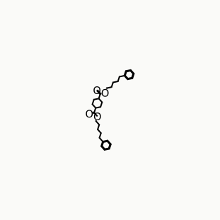 O=C(OCCCCCc1ccccc1)C1CCC(C(=O)OCCCCCc2ccccc2)CC1